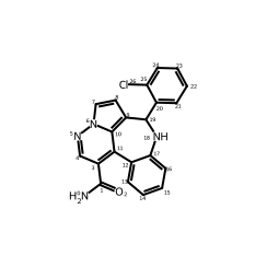 NC(=O)c1cnn2ccc3c2c1-c1ccccc1NC3c1ccccc1Cl